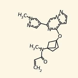 C=CC(=O)N(C)C12CCC(Oc3nc(-c4cnn(C)c4)cn4nccc34)(C1)C2